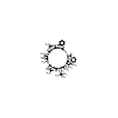 CC[C@H](C)[C@H]1C(=O)N[C@H](C(=O)N2CCCCC2)CSCC(=O)N[C@@H](Cc2ccccc2)C(=O)N(C)[C@@H](CC(C)C)C(=O)N[C@@H]([C@@H](C)O)C(=O)N(C)CC(=O)N(C)[C@@H](CC(C)C)C(=O)N[C@@H](COC(C)(C)C)C(=O)N1C